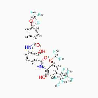 O=C(Nc1cccc(C(=O)Nc2c(O)cc(C(F)(C(F)(F)F)C(F)(F)F)cc2OC(F)F)c1O)c1ccc(OC(F)(F)F)cc1